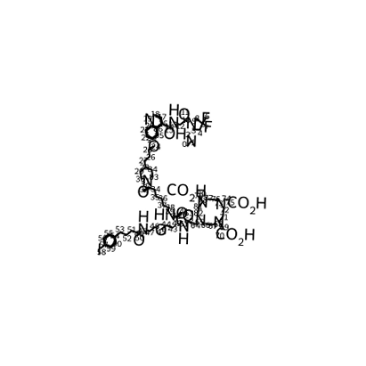 C/N=C/[C@H]1CC(F)(F)CN1C(=O)CNC(O)c1ccnc2ccc(OCCCC3CCN(C(=O)CCCCCNC(=O)[C@H](CCOCCNC(=O)CCCc4ccc(I)cc4)NC(=O)CN4CCN(CC(=O)O)CCN(CC(=O)O)CCN(CC(=O)O)CC4)CC3)cc12